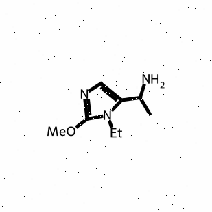 CCn1c(C(C)N)cnc1OC